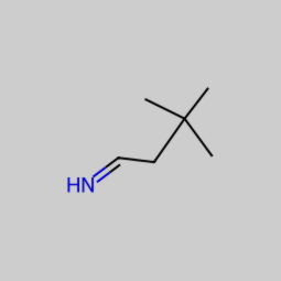 CC(C)(C)CC=N